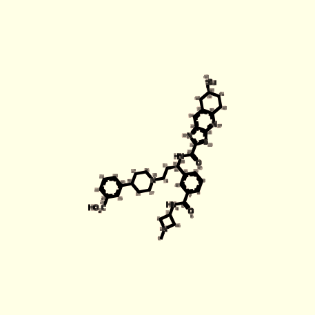 CN1CC(NC(=O)c2cccc([C@@H](CCN3CCC(c4cccc(C(=O)O)c4)CC3)NC(=O)c3nc4cc5c(nc4s3)CC[C@H](C(C)(C)C)C5)c2)C1